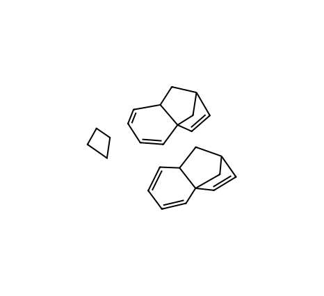 C1=CC2CC3C=CC2(C=C1)C3.C1=CC2CC3C=CC2(C=C1)C3.C1CCC1